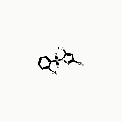 Cc1cc(C)n(S(=O)(=O)c2ccccc2C)n1